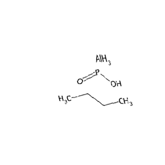 CCCC.O=PO.[AlH3]